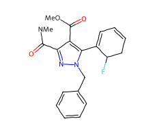 CNC(=O)c1nn(Cc2ccccc2)c(C2=CC=CCC2F)c1C(=O)OC